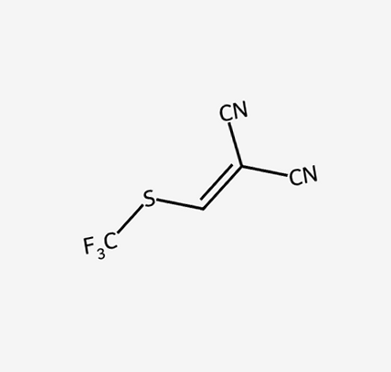 N#CC(C#N)=CSC(F)(F)F